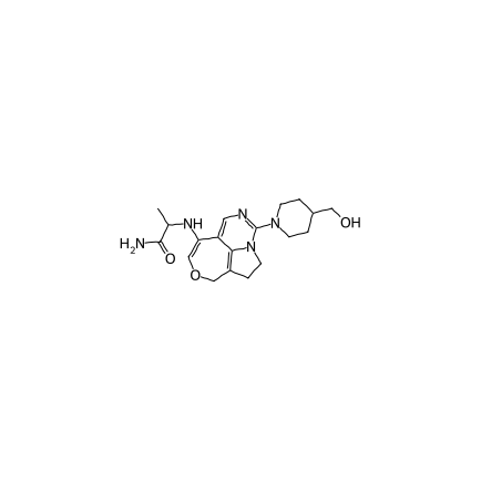 CC(NC1=COCC2=C3C1=CN=C(N1CCC(CO)CC1)N3CC2)C(N)=O